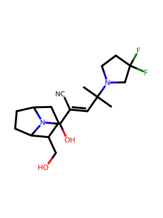 CC(C)(/C=C(\C#N)C(O)N1C2CCC(CO)C1CC2)N1CCC(F)(F)C1